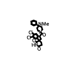 CNC1(c2ccccc2)CCN(C(=O)CCC2(c3ccc(Cl)c(Cl)c3)CCC(=O)NC2=O)CC1